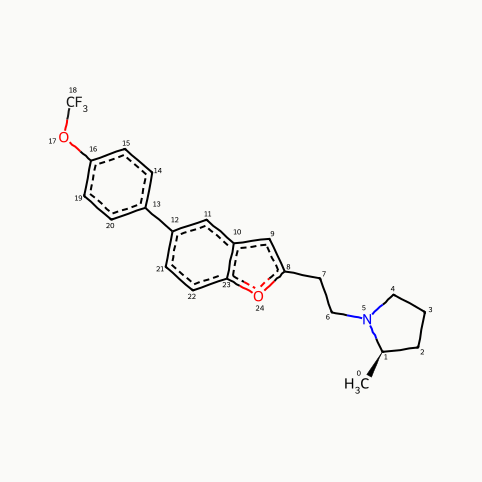 C[C@@H]1CCCN1CCc1cc2cc(-c3ccc(OC(F)(F)F)cc3)ccc2o1